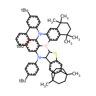 CC(C)(C)c1ccc(N2c3cc(C(C)(C)C)cc4c3B(c3cc5c(cc3N4c3ccc(C(C)(C)C)cc3-c3ccccc3)C(C)(C)CCC5(C)C)C3Sc4cc5c(cc4C32)C2(C)CCCC5(C)CC2)cc1